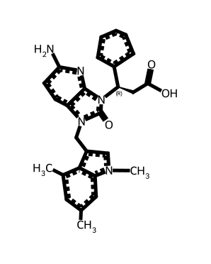 Cc1cc(C)c2c(Cn3c(=O)n([C@H](CC(=O)O)c4ccccc4)c4nc(N)ccc43)cn(C)c2c1